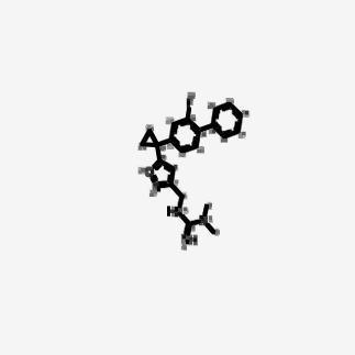 CN(C)C(=N)NCc1cc(C2(c3ccc(-c4ccccc4)c(F)c3)CC2)on1